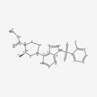 Cc1ccccc1S(=O)(=O)n1ncc2c(N3CCN(C(=O)OC(C)(C)C)[C@H](C)C3)ncnc21